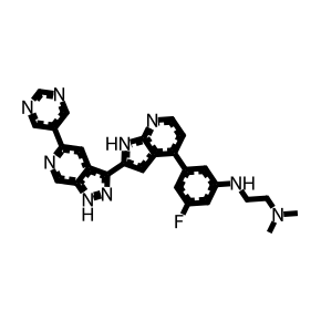 CN(C)CCNc1cc(F)cc(-c2ccnc3[nH]c(-c4n[nH]c5cnc(-c6cncnc6)cc45)cc23)c1